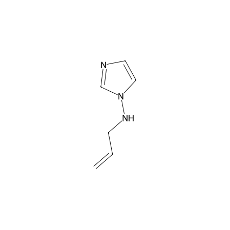 C=CCNn1ccnc1